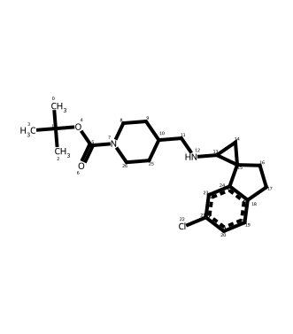 CC(C)(C)OC(=O)N1CCC(CNC2CC23CCc2ccc(Cl)cc23)CC1